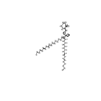 CCCCCC=CCC=CCCCCCCCCN(CCCCCCCCC=CCC=CCCCCC)C(=O)OCC1CCCCN1C